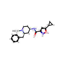 O=C(N[C@@H]1CCN(C(=O)O)[C@H](Cc2ccccc2)C1)c1cc(C2CC2)on1